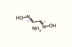 N.O/N=C/C=N/O